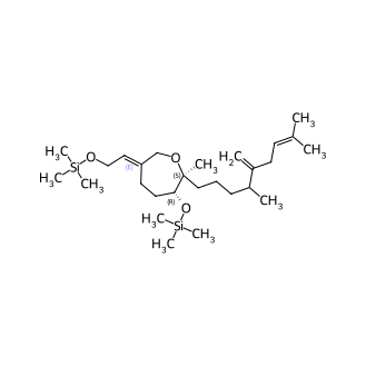 C=C(CC=C(C)C)C(C)CCC[C@]1(C)OC/C(=C/CO[Si](C)(C)C)CC[C@H]1O[Si](C)(C)C